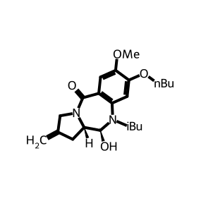 C=C1C[C@H]2[C@H](O)N(C(C)CC)c3cc(OCCCC)c(OC)cc3C(=O)N2C1